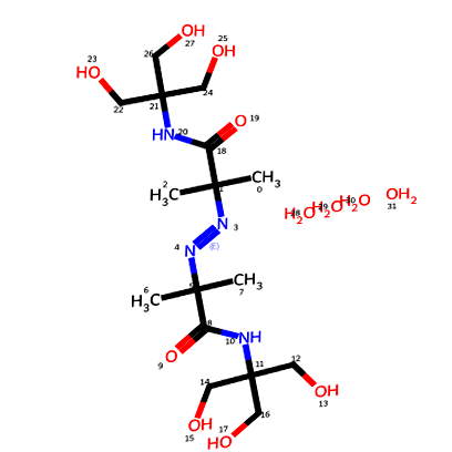 CC(C)(/N=N/C(C)(C)C(=O)NC(CO)(CO)CO)C(=O)NC(CO)(CO)CO.O.O.O.O